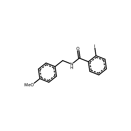 COc1ccc(CNC(=O)c2ccccc2I)cc1